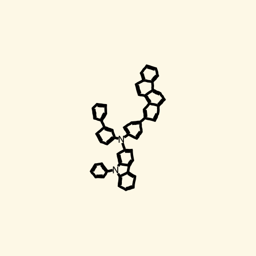 c1ccc(-c2cccc(N(c3ccc(-c4ccc5ccc6c7ccccc7ccc6c5c4)cc3)c3ccc4c5ccccc5n(-c5ccccc5)c4c3)c2)cc1